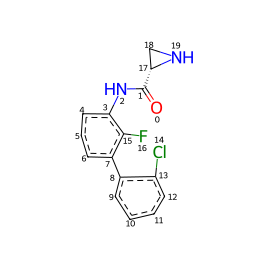 O=C(Nc1cccc(-c2ccccc2Cl)c1F)[C@@H]1CN1